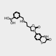 O=C1CSc2ccc(N3CC(CCNCc4cccc(B(O)O)c4)OC3=O)cc2N1